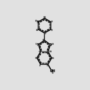 Oc1ccc2nc(-c3cccnc3)oc2c1